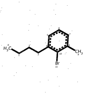 CCCCc1cccc(C)c1Br